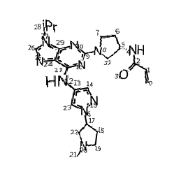 C=CC(=O)N[C@H]1CCN(c2nc(Nc3cnn(C4CCN(C)C4)c3)c3ncn(C(C)C)c3n2)C1